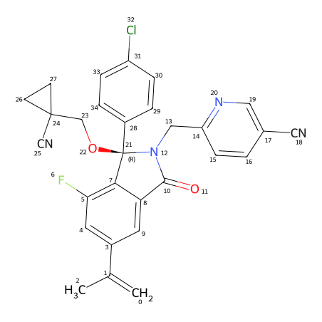 C=C(C)c1cc(F)c2c(c1)C(=O)N(Cc1ccc(C#N)cn1)[C@@]2(OCC1(C#N)CC1)c1ccc(Cl)cc1